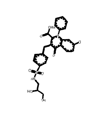 COC(=O)c1c(Cc2ccc(S(=O)(=O)NCC(O)CO)cc2)c(=O)c2ccc(Cl)cc2n1-c1ccccc1